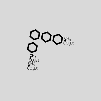 C1CCCCC1.C1CCCCC1.C1CCCCC1.C1CCCCC1.CCOC(C)=O.CCOC(C)=O.CCOC(C)=O